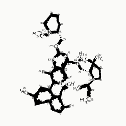 C#Cc1c(F)ccc2cc(O)cc(-c3ncc4c(N(C)C[C@H]5N(C(=O)C=C)CCC5(C)C)nc(OC[C@H]5CCCCN5C)nc4c3F)c12